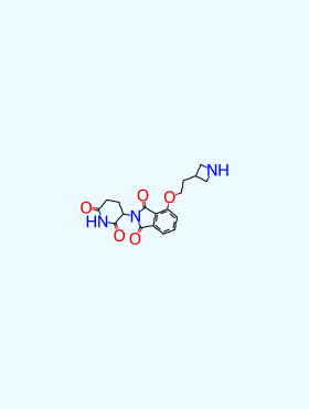 O=C1CCC(N2C(=O)c3cccc(OCCC4CNC4)c3C2=O)C(=O)N1